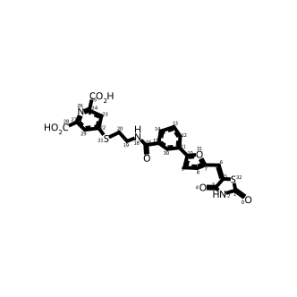 O=C1NC(=O)/C(=C\c2ccc(-c3cccc(C(=O)NCCSc4cc(C(=O)O)nc(C(=O)O)c4)c3)o2)S1